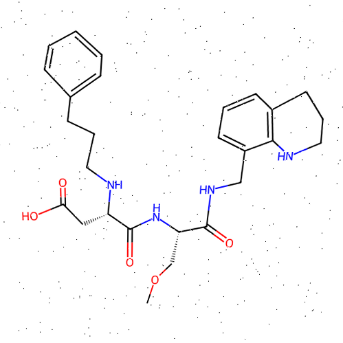 COC[C@H](NC(=O)[C@H](CC(=O)O)NCCCc1ccccc1)C(=O)NCc1cccc2c1NCCC2